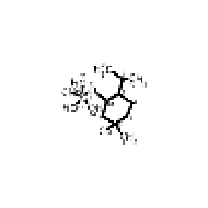 CC(C)C1CCC(C)(Cl)CC1OP(O)(O)(O)Cl